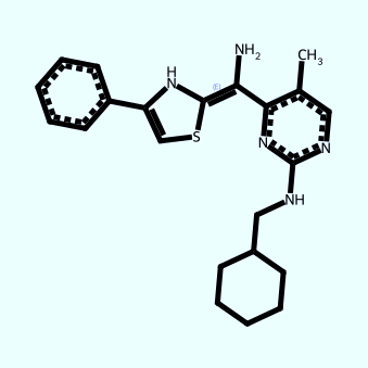 Cc1cnc(NCC2CCCCC2)nc1/C(N)=C1/NC(c2ccccc2)=CS1